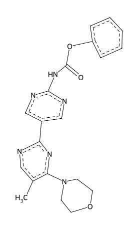 Cc1cnc(-c2cnc(NC(=O)Oc3ccccc3)nc2)nc1N1CCOCC1